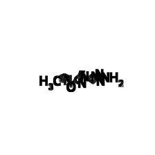 C[C@H]1CCCN(C(=O)c2cnc3c(ccn3-c3ccc4nc(N)nn4c3)c2)C1